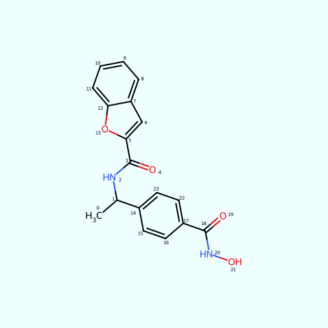 CC(NC(=O)c1cc2ccccc2o1)c1ccc(C(=O)NO)cc1